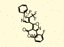 COC(=O)c1c(-c2c(C)cccc2F)noc1-c1cnn(-c2ccccc2)c1C(F)(F)P